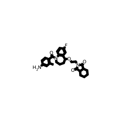 Cc1cc(N)ccc1C(=O)N1CCCC(OCCN2C(=O)C3CCCCC3C2=O)c2cc(F)ccc21